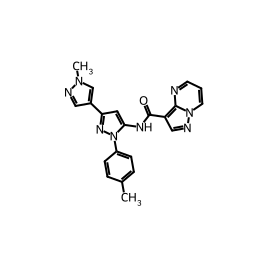 Cc1ccc(-n2nc(-c3cnn(C)c3)cc2NC(=O)c2cnn3cccnc23)cc1